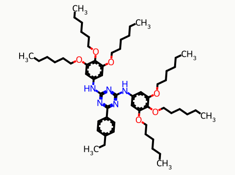 CCCCCCOc1cc(Nc2nc(Nc3cc(OCCCCCC)c(OCCCCCC)c(OCCCCCC)c3)nc(-c3ccc(CC)cc3)n2)cc(OCCCCCC)c1OCCCCCC